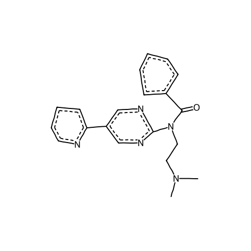 CN(C)CCN(C(=O)c1ccccc1)c1ncc(-c2ccccn2)cn1